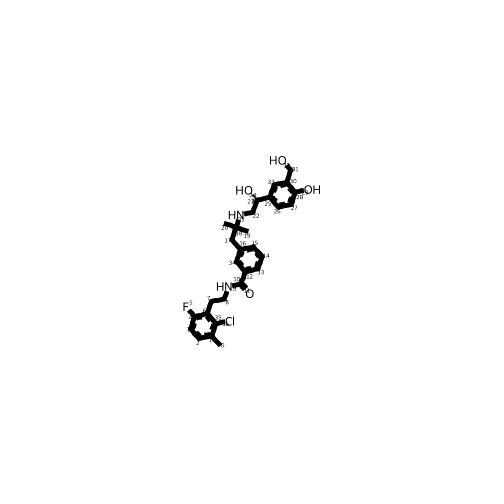 Cc1ccc(F)c(CCNC(=O)c2cccc(CC(C)(C)NC[C@H](O)c3ccc(O)c(CO)c3)c2)c1Cl